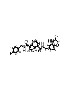 O=C1COc2ccc(CNC(=O)c3ncnc4c(C(=O)NCc5ccc(F)cc5)c[nH]c34)cc2N1